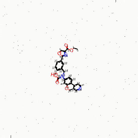 CCOC(=O)c1coc(-c2cccc(CN(C(=O)O)c3ccc4c(c3)OCc3cnccc3-4)c2)n1